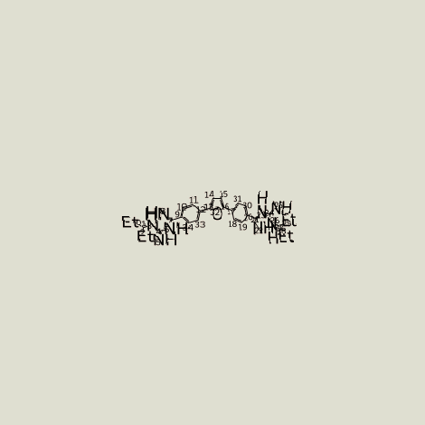 CCC(CC)NC(=N)NC(=N)c1ccc(-c2ccc(-c3ccc(C(=N)NC(=N)NC(CC)CC)cc3)o2)cc1